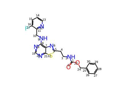 O=C(NCCc1nc2c(NCc3ncccc3F)ncnc2s1)OCc1ccccc1